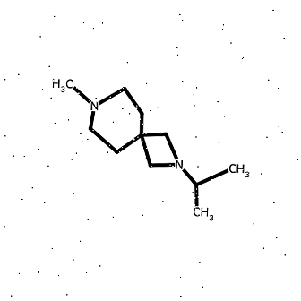 CC(C)N1CC2(CCN(C)CC2)C1